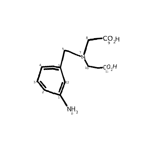 Nc1cccc(CN(CC(=O)O)CC(=O)O)c1